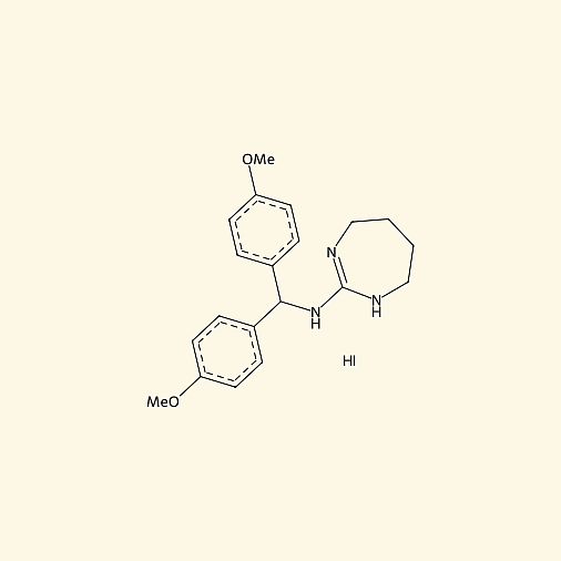 COc1ccc(C(NC2=NCCCCN2)c2ccc(OC)cc2)cc1.I